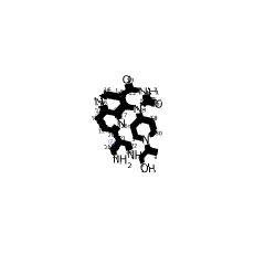 C=C(CO)N1CCC(n2c(=O)[nH]c(=O)c3cnc4ccc(/C(C=N)=C/N)nc4c32)CC1